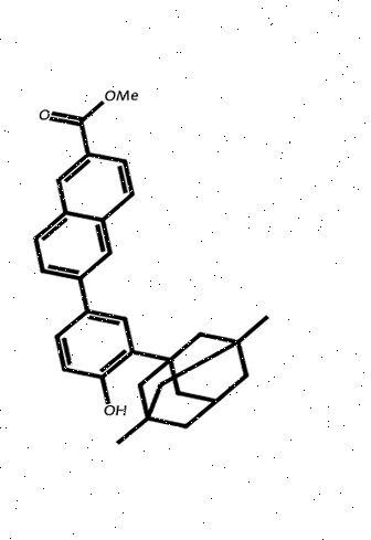 COC(=O)c1ccc2cc(-c3ccc(O)c(C45CC6CC(C)(CC(C)(C6)C4)C5)c3)ccc2c1